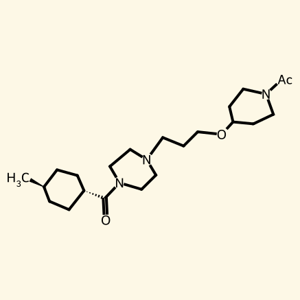 CC(=O)N1CCC(OCCCN2CCN(C(=O)[C@H]3CC[C@H](C)CC3)CC2)CC1